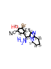 CCc1nc2n(c1C(N)c1cc(Br)c(O)c(C#N)c1)CCCC2